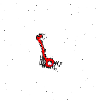 CO[C@H]1C[C@@H]2CCC[C@@](O)(O2)C(=O)C(=O)N2CCCC[C@H]2C(=O)O[C@H]([C@H](N)C[C@@H]2CC[C@@H](OC(=O)NCCOCCOCCN3C[C@@H]4C[C@H]3CN4CCOCCOCCOCCOCCC(=O)N3CCc4cc(Cn5nc(-c6ccc7oc(N)nc7c6)c6c(N)ncnc65)ccc4C3)[C@H](O)C2)C[C@@H](O)[C@H](C)/C=C(\C)[C@@H](O)[C@@H](O)C(=O)[C@H](C)C[C@H](C)/C=C/C=C/C=C/1C